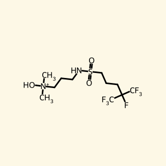 C[N+](C)(O)CCCNS(=O)(=O)CCCC(F)(C(F)(F)F)C(F)(F)F